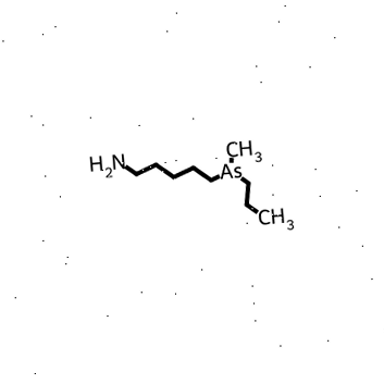 CCC[As](C)CCCCCN